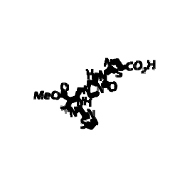 COC(=O)C1=C(CN2CCN3C(=O)N(c4ncc(C(=O)O)s4)C[C@@H]3C2)NC(c2nccs2)=N[C@H]1C